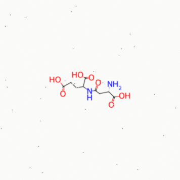 N[C@@H](CC(=O)NC(CCC(=O)O)C(=O)O)C(=O)O